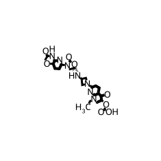 CCn1cc(OC(=O)O)c(=O)c2ccc(N3CC(NC[C@@H]4CN(c5ccc6c(n5)NC(=O)CO6)C(=O)O4)C3)nc21